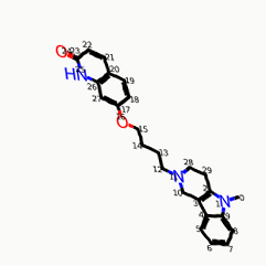 Cn1c2c(c3ccccc31)CN(CCCCOc1ccc3ccc(=O)[nH]c3c1)CC2